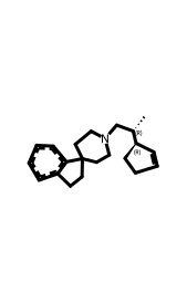 C[C@@H](CN1CCC2(CCc3ccccc32)CC1)[C@H]1C=CCC1